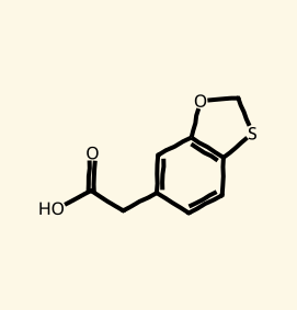 O=C(O)Cc1ccc2c(c1)OCS2